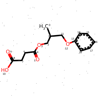 CC(COC(=O)CCC(=O)O)COc1ccccc1